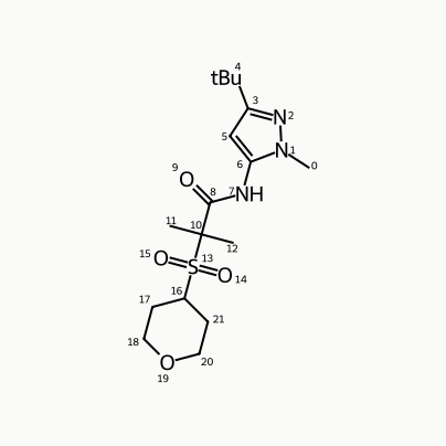 Cn1nc(C(C)(C)C)cc1NC(=O)C(C)(C)S(=O)(=O)C1CCOCC1